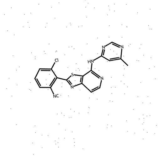 [C-]#[N+]c1cccc(Cl)c1-c1nc2ccnc(Nc3cc(C)ncn3)c2s1